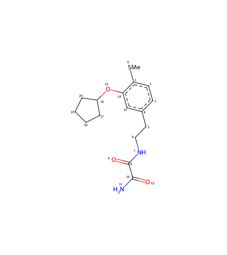 CSc1ccc(CCNC(=O)C(N)=O)cc1OC1CCCC1